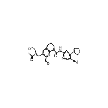 N#Cc1cnc(NC(=O)N2CCCc3cc(CN4CCOCC4=O)c(C=O)nc32)cc1N1CCCC1